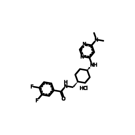 CN(C)c1cc(N[C@H]2CC[C@@H](CNC(=O)c3ccc(F)c(F)c3)CC2)ncn1.Cl